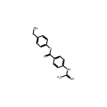 CC(C)(C)Cc1ccc(OC(=O)c2ccc(NC(=N)N)cc2)cc1